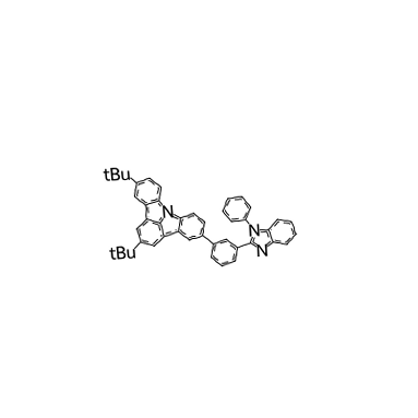 CC(C)(C)c1ccc2c(c1)c1cc(C(C)(C)C)cc3c4cc(-c5cccc(-c6nc7ccccc7n6-c6ccccc6)c5)ccc4n2c31